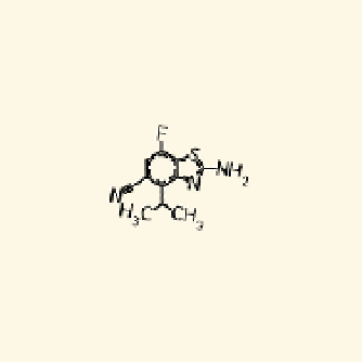 CC(C)c1c(C#N)cc(F)c2sc(N)nc12